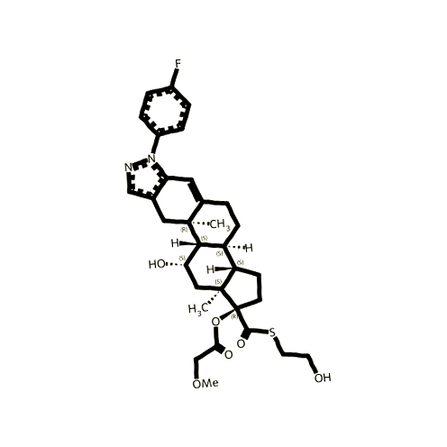 COCC(=O)O[C@]1(C(=O)SCCO)CC[C@H]2[C@@H]3CCC4=Cc5c(cnn5-c5ccc(F)cc5)C[C@]4(C)[C@H]3[C@@H](O)C[C@@]21C